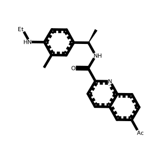 CCNc1ccc([C@@H](C)NC(=O)c2ccc3cc(C(C)=O)ccc3n2)cc1C